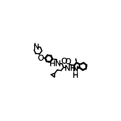 Cc1c(C(=O)NC(CCC2CC2)C(=O)NCc2ccc(OC3CCN(C)CC3)cc2)[nH]c2ccccc12